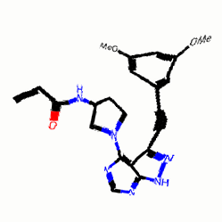 C=CC(=O)NC1CCN(c2ncnc3[nH]nc(C#Cc4cc(OC)cc(OC)c4)c23)C1